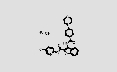 Cl.Cl.O=C(Nc1ccc(Cl)cn1)c1oc2ccccc2c1NC(=O)[C@H]1CC[C@H](N2CCOCC2)CC1